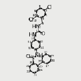 O=C(NCc1cc(Cl)ccc1Cl)Nc1ccc(N[S+]([O-])c2ccccc2-c2ccccc2)cc1